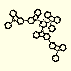 c1ccc(-n2c3ccccc3c3cc(-c4ccc5c(c4)c4ccccc4n5-c4cc([Si]5(c6ccccc6)c6ccccc6-c6ccccc65)nc(-n5c6ccccc6c6cc(-c7ccc8c(c7)c7ccccc7n8-c7ccccc7)ccc65)n4)ccc32)cc1